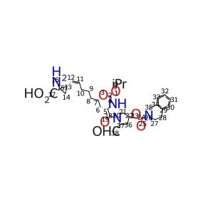 CC(C)OC(=O)N[C@@H](CCCCC/C=C\[C@@H]1C[C@]1(N)C(=O)O)C(=O)N1C[C@H](OC(=O)N2CCc3ccccc3C2)C[C@H]1C=O